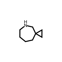 C1CCC2(CC2)CNC1